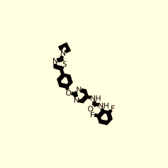 O=C(Nc1cnc(Oc2ccc(-c3cnc(N4CCC4)s3)cc2)nc1)Nc1c(F)cccc1F